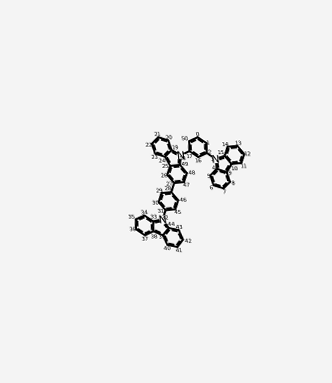 c1cc(-n2c3ccccc3c3ccccc32)cc(-n2c3ccccc3c3cc(-c4ccc(-n5c6ccccc6c6ccccc65)cc4)ccc32)c1